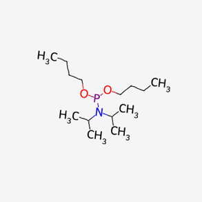 CCCCOP(OCCCC)N(C(C)C)C(C)C